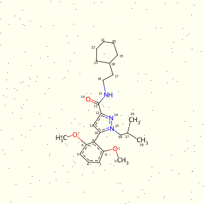 COc1cccc(OC)c1-c1cc(C(=O)NCCC2CCCCC2)nn1CC(C)C